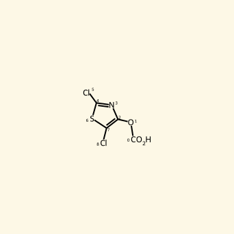 O=C(O)Oc1nc(Cl)sc1Cl